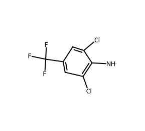 [NH]c1c(Cl)cc(C(F)(F)F)cc1Cl